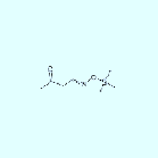 CC(=O)CC=NO[Si](C)(C)C